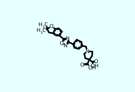 CC1(C)Cc2cc(-c3nc(-c4ccc(CN5CCC(C(=O)O)(C(=O)O)CC5)cc4)no3)ccc2O1